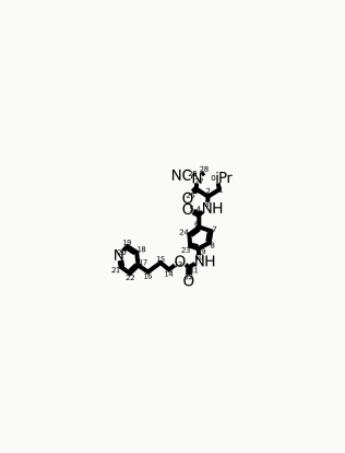 CC(C)CC(NC(=O)c1ccc(NC(=O)OCCCc2ccncc2)cc1)C(=O)N(C)C#N